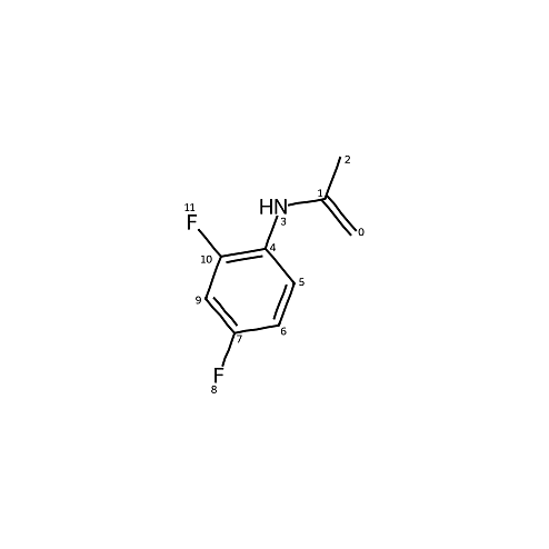 C=C(C)Nc1ccc(F)cc1F